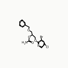 NC(=O)OC(COCc1ccccc1)COc1ncc(Cl)cc1Br